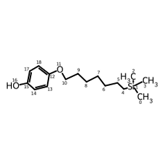 C[Si](C)(C)CCCCCCCOc1ccc(O)cc1